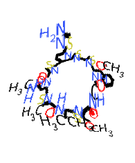 CNC(=O)CC1NC(=O)c2csc(n2)-c2ccc(-c3nc(N)cs3)nc2-c2csc(n2)-c2csc(n2)C(C(OC)c2ccccc2)NC(=O)CNC(=O)c2nc(sc2COC)C(C(C)C)NC(=O)c2nc1sc2C